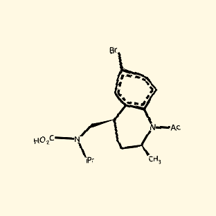 CC(=O)N1c2ccc(Br)cc2[C@H](CN(C(=O)O)C(C)C)C[C@@H]1C